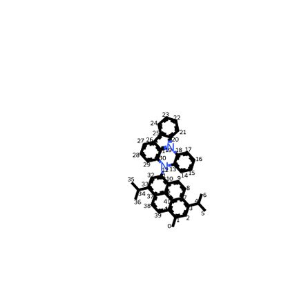 Cc1cc(C(C)C)c2ccc3c(N4c5ccccc5-n5c6ccccc6c6cccc4c65)cc(C(C)C)c4ccc1c2c43